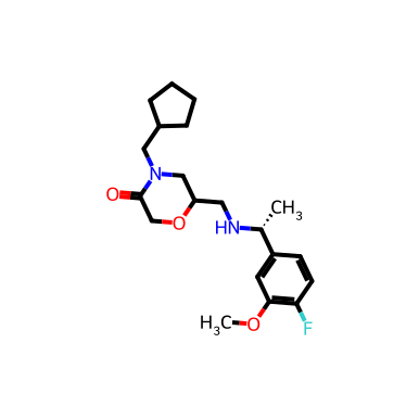 COc1cc([C@@H](C)NCC2CN(CC3CCCC3)C(=O)CO2)ccc1F